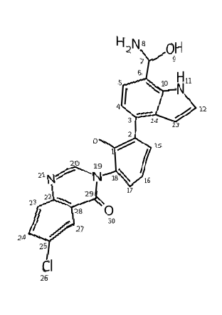 Cc1c(-c2ccc(C(N)O)c3[nH]ccc23)cccc1-n1cnc2ccc(Cl)cc2c1=O